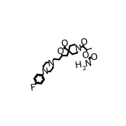 C[C@@H](OC(N)=O)C(=O)N1CCC2(CC1)CC(CCN1CCN(c3ccc(F)cc3)CC1)OC2=O